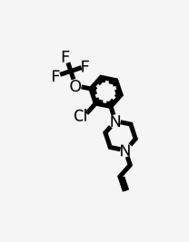 C=CCN1CCN(c2cccc(OC(F)(F)F)c2Cl)CC1